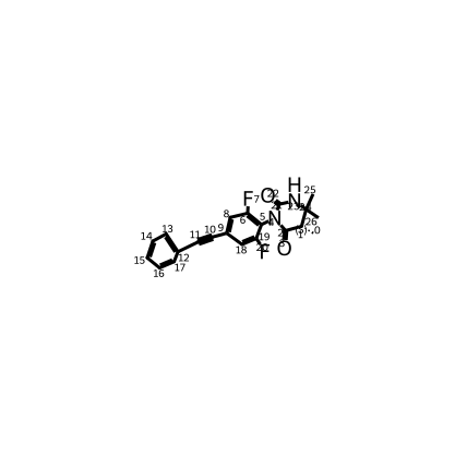 C[C@@H]1C(=O)N(c2c(F)cc(C#Cc3ccccc3)cc2F)C(=O)NC1(C)C